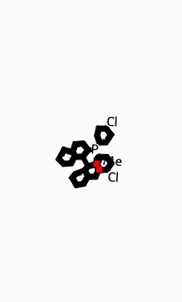 COc1ccc2ccccc2c1-c1c(P(c2ccc(Cl)cc2)c2ccc(Cl)cc2)ccc2ccccc12